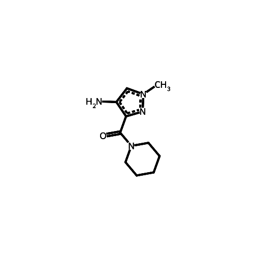 Cn1cc(N)c(C(=O)N2CCCCC2)n1